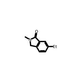 CCc1ccc2c(c1)C(=O)N(C)C2